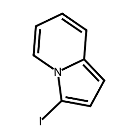 Ic1ccc2ccccn12